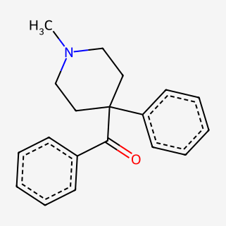 CN1CCC(C(=O)c2ccccc2)(c2ccccc2)CC1